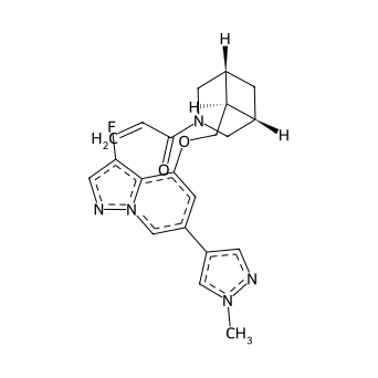 C=CC(=O)N1C[C@H]2C[C@@H](C1)[C@@H]2COc1cc(-c2cnn(C)c2)cn2ncc(F)c12